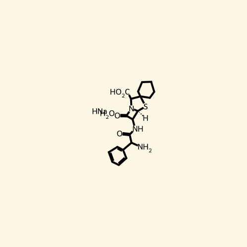 NC(C(=O)NC1C(=O)N2C(C(=O)O)C3(CCCCC3)S[C@@H]12)c1ccccc1.O.[NaH]